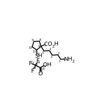 NCCCCCC1(C(=O)O)CCCC1S.O=C(O)C(F)(F)F